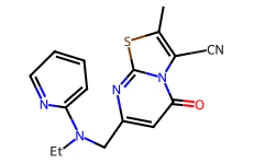 CCN(Cc1cc(=O)n2c(C#N)c(C)sc2n1)c1ccccn1